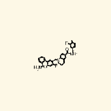 Cc1ccc([C@H](C)NC(=O)c2ccc3c(c2)CCCN3Cc2cc(-c3ccccc3C(N)=O)ccc2F)cc1F